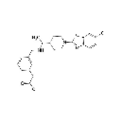 CC(NCc1cccc(CC(=O)O)c1)C1CCN(c2nc3ccc(Cl)cc3s2)CC1